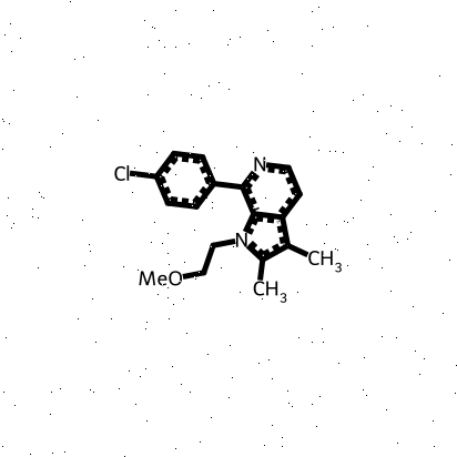 COCCn1c(C)c(C)c2ccnc(-c3ccc(Cl)cc3)c21